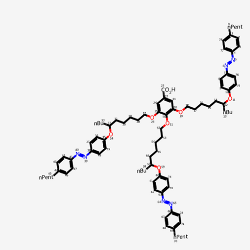 CCCCCc1ccc(/N=N/c2ccc(OC(CCCC)CCCCCOc3cc(C(=O)O)cc(OCCCCCC(CCCC)Oc4ccc(/N=N/c5ccc(CCCCC)cc5)cc4)c3OCCCCCC(CCCC)Oc3ccc(/N=N/c4ccc(CCCCC)cc4)cc3)cc2)cc1